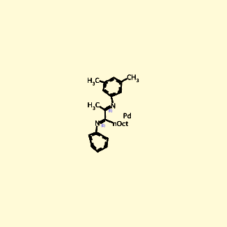 CCCCCCCCC(=N\c1ccccc1)/C(C)=N/c1cc(C)cc(C)c1.[Pd]